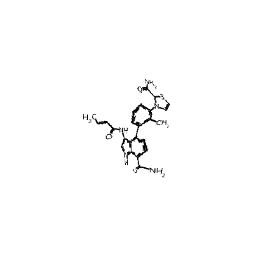 C/C=C/C(=O)Nc1c[nH]c2c(C(N)=O)ccc(-c3cccc(N4C=CSC4C(N)=O)c3C)c12